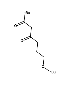 CCCCOCCCC(=O)CC(=O)C(C)(C)C